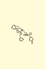 O=C(NCCCN(CC1Cc2ccccc2O1)C(=O)OCc1ccccc1)c1ccc(F)cc1